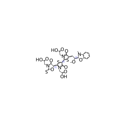 CO/C(C=c1s/c(=c2/s/c(=C3/OC(=S)N(CC(=O)O)C3=O)n(CC(=O)O)c2=O)n(CC(=O)O)c1=O)=C1\Oc2ccccc2N1C